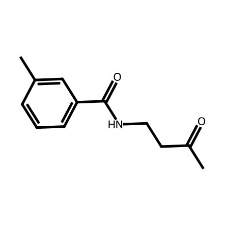 CC(=O)CCNC(=O)c1cccc(C)c1